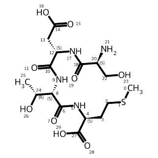 CSCC[C@H](NC(=O)[C@@H](NC(=O)[C@H](CC(=O)O)NC(=O)[C@@H](N)CO)[C@@H](C)O)C(=O)O